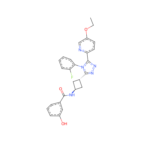 CCOc1ccc(-c2nnc([C@H]3C[C@H](NC(=O)c4cccc(O)c4)C3)n2-c2ccccc2F)nc1